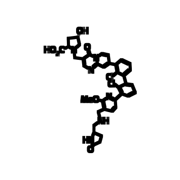 COc1nc(-c2cccc(-c3cccc(-c4ccn5c(=O)c(CN6C[C@@H](O)C[C@@H]6C(=O)O)cnc5c4)c3Cl)c2Cl)ccc1CNCC1CCC(=O)N1